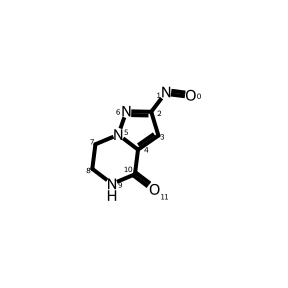 O=Nc1cc2n(n1)CCNC2=O